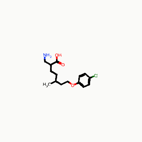 CC(CCOc1ccc(Cl)cc1)CCC(CN)C(=O)O